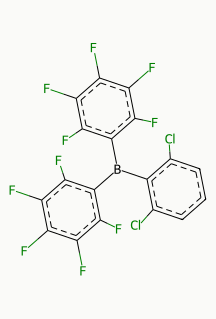 Fc1c(F)c(F)c(B(c2c(Cl)cccc2Cl)c2c(F)c(F)c(F)c(F)c2F)c(F)c1F